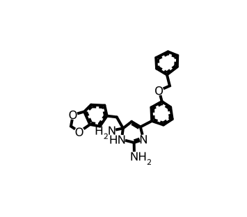 NC1=NC(c2cccc(OCc3ccccc3)c2)=CC(N)(Cc2ccc3c(c2)OCO3)N1